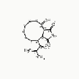 C=C(C)C(=O)C1CCCCCCC(=O)C2C(=O)[N]C(=O)C12